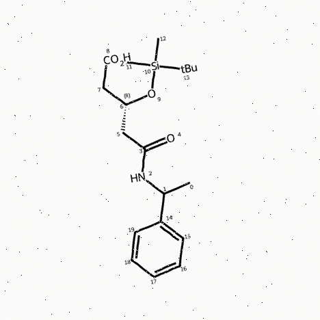 CC(NC(=O)C[C@H](CC(=O)O)O[Si](C)(C)C(C)(C)C)c1ccccc1